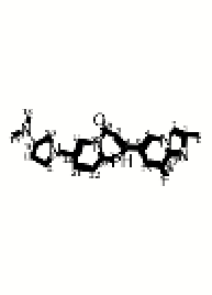 Cc1cn2cc(C3=CC(=O)N4C=C(N5CC[C@H](N(C)C)C5)C=CC4P3)cc(F)c2n1